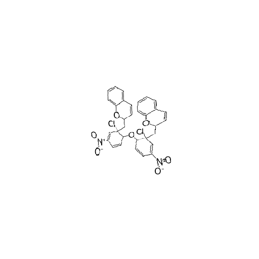 O=[N+]([O-])C1=CC(Cl)(CC2C=Cc3ccccc3O2)C(OC2C=CC([N+](=O)[O-])=CC2(Cl)CC2C=Cc3ccccc3O2)C=C1